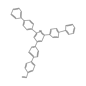 C=Cc1ccc(-c2ccc(-c3cc(-c4ccc(-c5ccccc5)cc4)nc(-c4ccc(-c5ccccc5)cc4)c3)cc2)cc1